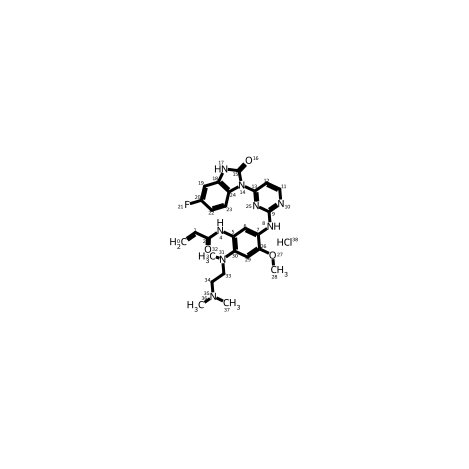 C=CC(=O)Nc1cc(Nc2nccc(-n3c(=O)[nH]c4cc(F)ccc43)n2)c(OC)cc1N(C)CCN(C)C.Cl